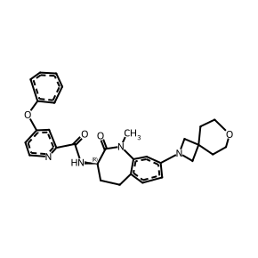 CN1C(=O)[C@H](NC(=O)c2cc(Oc3ccccc3)ccn2)CCc2ccc(N3CC4(CCOCC4)C3)cc21